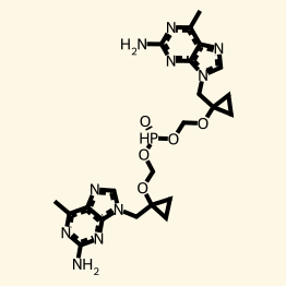 Cc1nc(N)nc2c1ncn2CC1(OCO[PH](=O)OCOC2(Cn3cnc4c(C)nc(N)nc43)CC2)CC1